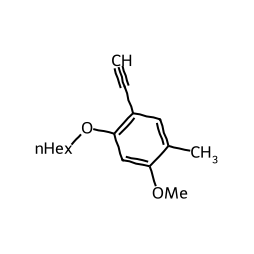 C#Cc1cc(C)c(OC)cc1OCCCCCC